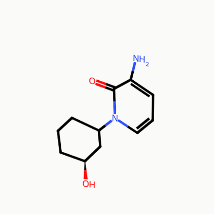 Nc1cccn(C2CCC[C@H](O)C2)c1=O